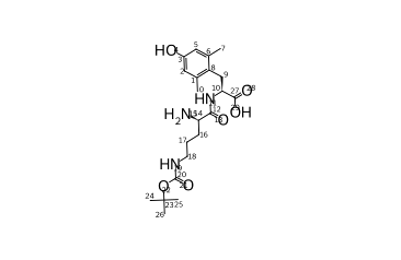 Cc1cc(O)cc(C)c1C[C@H](NC(=O)[C@H](N)CCCNC(=O)OC(C)(C)C)C(=O)O